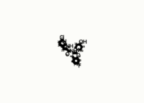 O=C(N[C@@H](Cc1ccc(F)cc1)C(=O)N1CCC(O)CC1)c1cc2ccc(Cl)nc2[nH]1